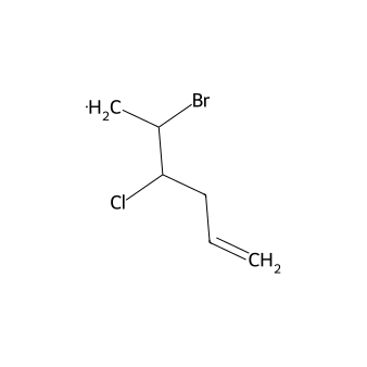 [CH2]C(Br)C(Cl)CC=C